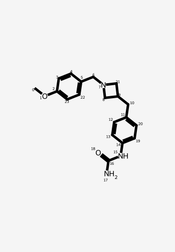 COc1ccc(CN2CC(Cc3ccc(NC(N)=O)cc3)C2)cc1